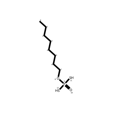 CCCCCCCCOP(=O)(S)S